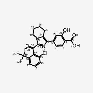 O=C(O)c1ccc(-c2nc(C(=O)c3c(Cl)cccc3C(F)(F)F)n3c2CCCC3)cc1O